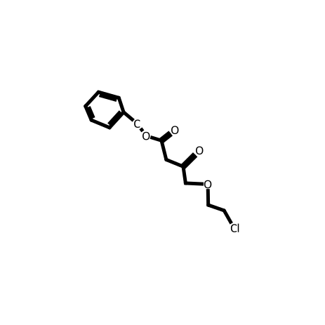 O=C(COCCCl)CC(=O)OCc1ccccc1